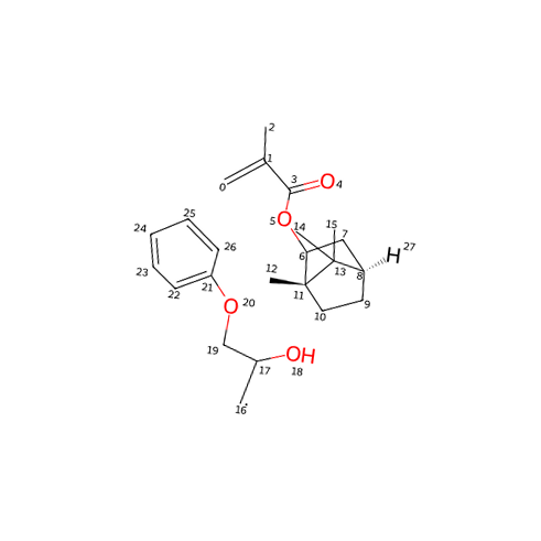 C=C(C)C(=O)OC1C[C@H]2CC[C@@]1(C)C2(C)C.[CH2]C(O)COc1ccccc1